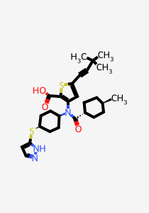 CC(C)(C)C#Cc1cc(N(C(=O)[C@H]2CC[C@H](C)CC2)[C@H]2CC[C@H](Sc3ccn[nH]3)CC2)c(C(=O)O)s1